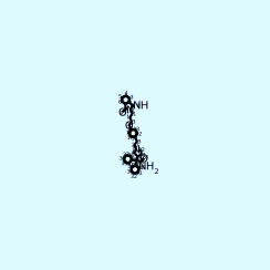 N=C1c2ccccc2C(=O)N1CCCOc1ccc(CCN2CCC(C(C(N)=O)(c3ccccc3)c3ccccc3)C2)cc1